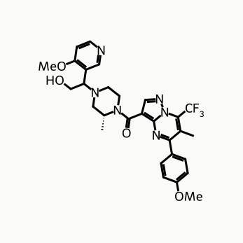 COc1ccc(-c2nc3c(C(=O)N4CCN(C(CO)c5cnccc5OC)C[C@H]4C)cnn3c(C(F)(F)F)c2C)cc1